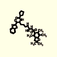 Cc1c(C)c(S(=O)(=O)NC(=N)NCCCC(NC(=O)C2CCCC2)C(=O)c2nc3ccccc3s2)c(C)c2c1OC(C)(C)C2